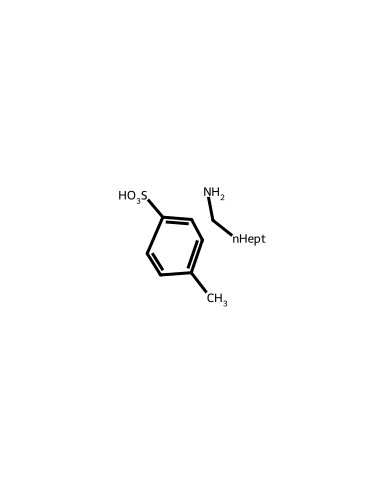 CCCCCCCCN.Cc1ccc(S(=O)(=O)O)cc1